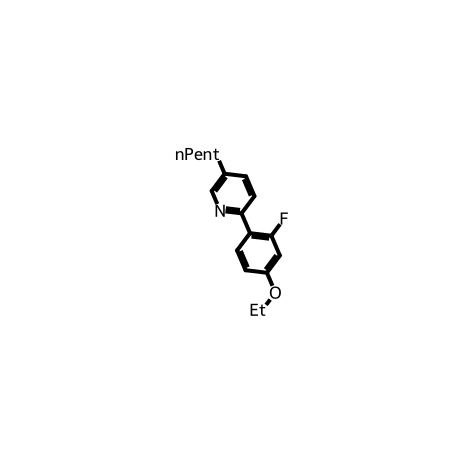 CCCCCc1ccc(-c2ccc(OCC)cc2F)nc1